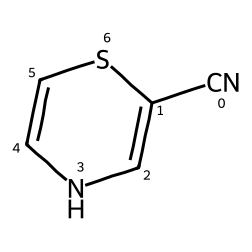 N#CC1=CNC=CS1